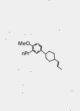 CC=CC1CCC(c2ccc(OC)c(CCC)c2)CC1